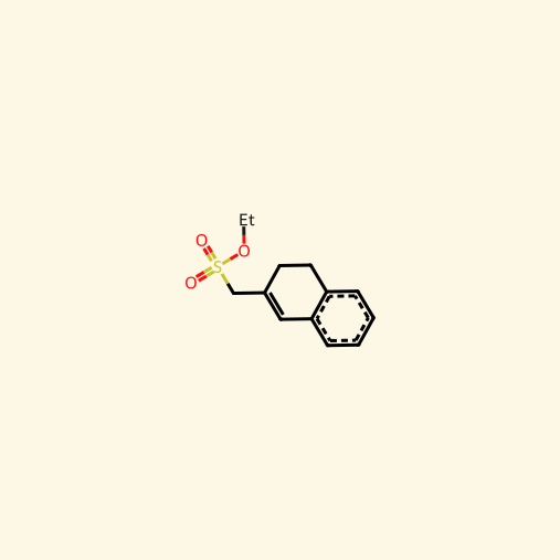 CCOS(=O)(=O)CC1=Cc2ccccc2CC1